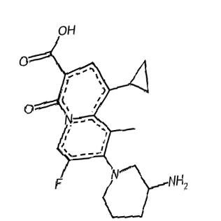 Cc1c(N2CCCC(N)C2)c(F)cn2c(=O)c(C(=O)O)cc(C3CC3)c12